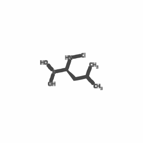 CC(C)C[C@H](NCl)B(O)O